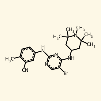 Cc1ccc(Nc2ncc(Br)c(NC3CC(C)(C)N(C)C(C)(C)C3)n2)cc1C#N